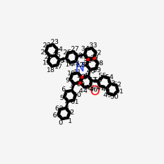 c1ccc(-c2ccc(-c3ccc(N(c4cc(-c5cccc6ccccc56)ccc4-c4ccccc4)c4ccccc4-c4cccc5oc6c7ccccc7ccc6c45)cc3)cc2)cc1